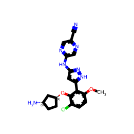 COc1ccc(Cl)c(O[C@@H]2CC[C@H](N)C2)c1-c1cc(Nc2cnc(C#N)cn2)n[nH]1